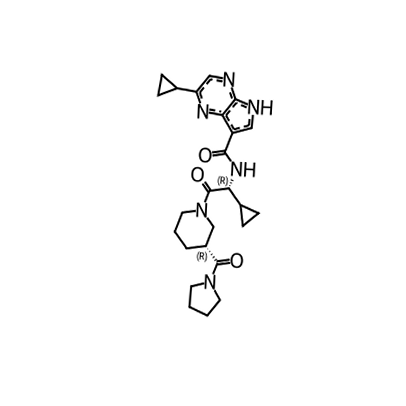 O=C(N[C@@H](C(=O)N1CCC[C@@H](C(=O)N2CCCC2)C1)C1CC1)c1c[nH]c2ncc(C3CC3)nc12